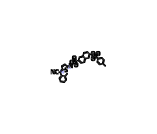 Cc1ccc(S(=O)(=O)Oc2ccc3cc(S(=O)(=O)O/N=C4C=C/C(=C(\C#N)c5ccccc5C)S\4)ccc3c2)cc1